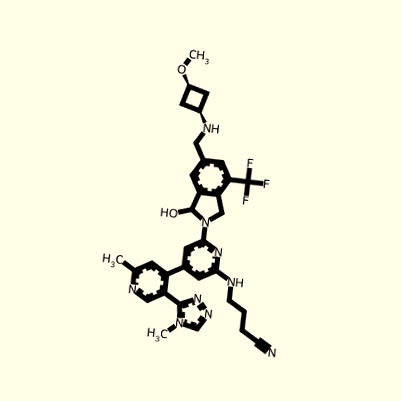 CO[C@H]1C[C@@H](NCc2cc3c(c(C(F)(F)F)c2)CN(c2cc(-c4cc(C)ncc4-c4nncn4C)cc(NCCCC#N)n2)C3O)C1